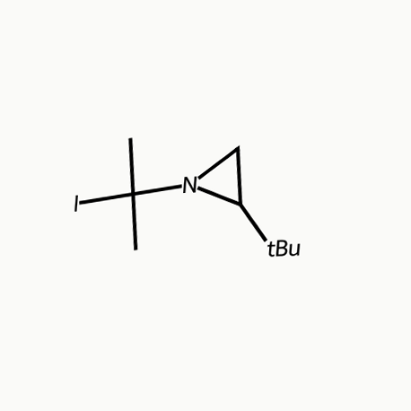 CC(C)(C)C1CN1C(C)(C)I